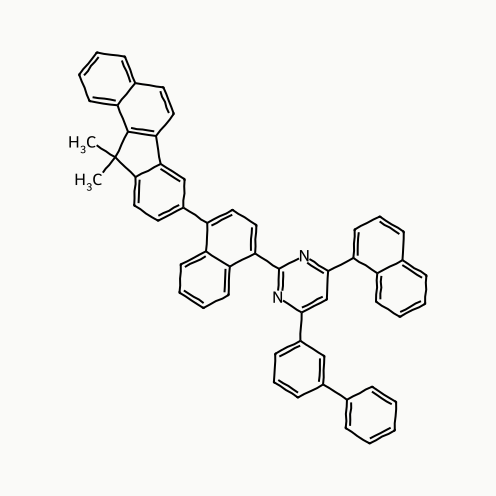 CC1(C)c2ccc(-c3ccc(-c4nc(-c5cccc(-c6ccccc6)c5)cc(-c5cccc6ccccc56)n4)c4ccccc34)cc2-c2ccc3ccccc3c21